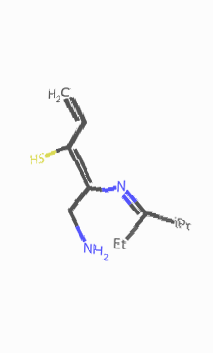 C=C/C(S)=C(CN)\N=C(/CC)C(C)C